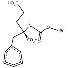 CC(C)(C)OC(=O)N[C@@](CCC(=O)O)(Cc1ccccc1)C(=O)O